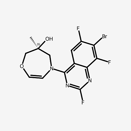 C[C@@]1(O)COC=CN(c2nc(F)nc3c(F)c(Br)c(F)cc23)C1